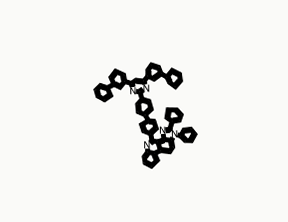 c1ccc(-c2cccc(-c3cc(-c4cccc(-c5ccccc5)c4)nc(-c4ccc(-c5ccc(-c6nc7ccccc7c7ccc8c(nc(-c9ccccc9)n8-c8ccccc8)c67)cc5)cc4)n3)c2)cc1